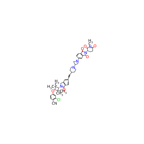 CN1C(=O)CCC(N2C(=O)c3ccc(N4CC(N5CCC(C#Cc6ccc7c(c6)CN([C@H]6C(C)(C)[C@H](Oc8ccc(C#N)c(Cl)c8)C6(C)C)C7=O)CC5)C4)cc3C2=O)C1=O